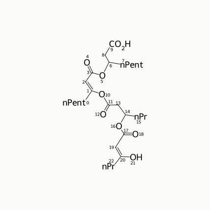 CCCCCC(=CC(=O)OC(CCCCC)CC(=O)O)OC(=O)CC(CCC)OC(=O)C=C(O)CCC